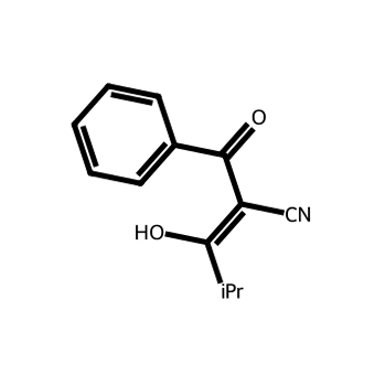 CC(C)C(O)=C(C#N)C(=O)c1ccccc1